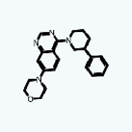 c1ccc(C2CCCN(c3ncnc4cc(N5CCOCC5)ccc34)C2)cc1